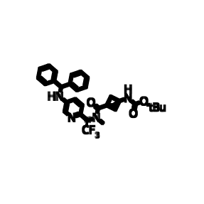 CN(C(=O)C12CC(NC(=O)OC(C)(C)C)(C1)C2)[C@@H](c1ccc(NC(c2ccccc2)c2ccccc2)cn1)C(F)(F)F